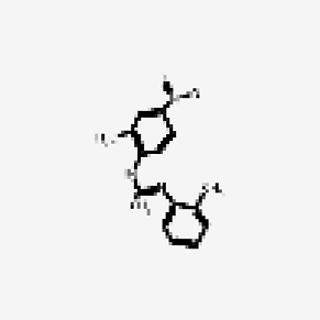 C/C(=N\c1ccccc1C)Nc1ccc([N+](=O)[O-])cc1C